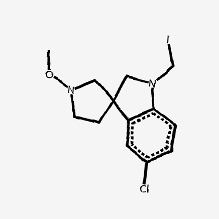 CON1CCC2(C1)CN(CI)c1ccc(Cl)cc12